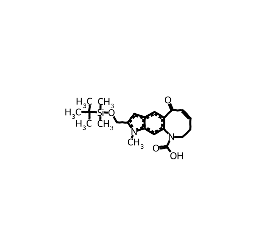 Cn1c(CO[Si](C)(C)C(C)(C)C)cc2cc3c(cc21)N(C(=O)O)CC/C=C\C3=O